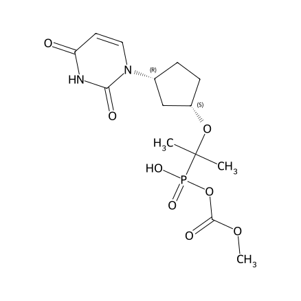 COC(=O)OP(=O)(O)C(C)(C)O[C@H]1CC[C@@H](n2ccc(=O)[nH]c2=O)C1